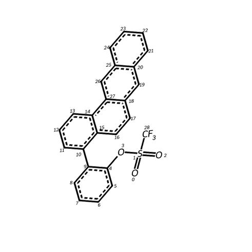 O=S(=O)(Oc1ccccc1-c1cccc2c1ccc1cc3ccccc3cc12)C(F)(F)F